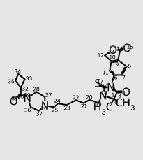 CC1(C)C(=O)N(c2ccc3c(c2)COC3=O)C(=S)N1CCCCCCCN1CCN(C(=O)C2CCC2)CC1